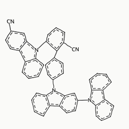 N#Cc1ccc2c3ccccc3n(-c3cccc(C#N)c3-c3ccc(-n4c5ccccc5c5ccc(-n6c7ccccc7c7ccccc76)cc54)cc3)c2c1